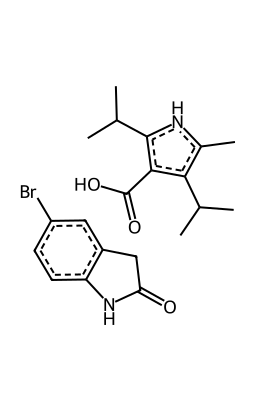 Cc1[nH]c(C(C)C)c(C(=O)O)c1C(C)C.O=C1Cc2cc(Br)ccc2N1